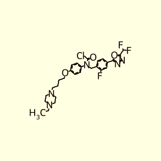 CCN1CCN(CCCCOc2ccc(N(Cc3ccc(-c4nnc(C(F)F)o4)cc3F)C(=O)Cl)cc2)CC1